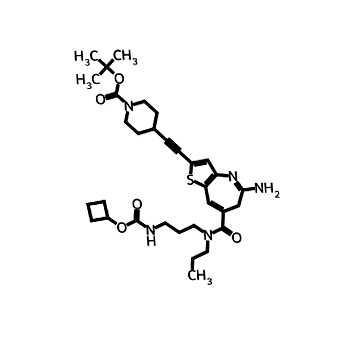 CCCN(CCCNC(=O)OC1CCC1)C(=O)C1=Cc2sc(C#CC3CCN(C(=O)OC(C)(C)C)CC3)cc2N=C(N)C1